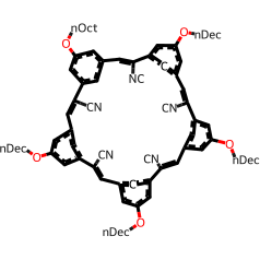 [C-]#[N+]/C1=C\c2cc(OCCCCCCCC)cc(c2)/C(C#N)=C/c2cc(OCCCCCCCCCC)cc(c2)/C(C#N)=C/c2cc(OCCCCCCCCCC)cc(c2)/C([N+]#[C-])=C/c2cc(OCCCCCCCCCC)cc(c2)/C([N+]#[C-])=C/c2cc(OCCCCCCCCCC)cc1c2